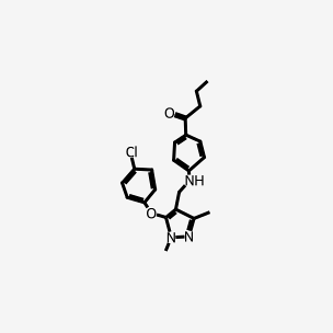 CCCC(=O)c1ccc(NCc2c(C)nn(C)c2Oc2ccc(Cl)cc2)cc1